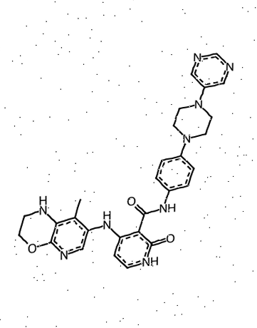 Cc1c(Nc2cc[nH]c(=O)c2C(=O)Nc2ccc(N3CCN(c4cncnc4)CC3)cc2)cnc2c1NCCO2